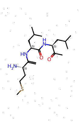 C=C(N[C@@H](CC(C)C)C(=O)N[C@@H](CC(C)C)C(C)=O)[C@@H](N)CCSC